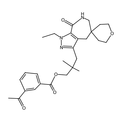 CCn1nc(CC(C)(C)COC(=O)c2cccc(C(C)=O)c2)c2c1C(=O)NCC1(CCOCC1)C2